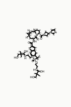 CC(C)(CO)C(O)=[SH]CCOP(=O)(OCC[SH]=C(O)C(C)(C)CO)C(F)(F)c1ccc2sc(C(=O)N[C@H]3C[C@@H]4C[C@@H]4C[C@H]4CC[C@@H](C(=O)N5CC(n6ccnc6)C5)N4C3=O)cc2c1